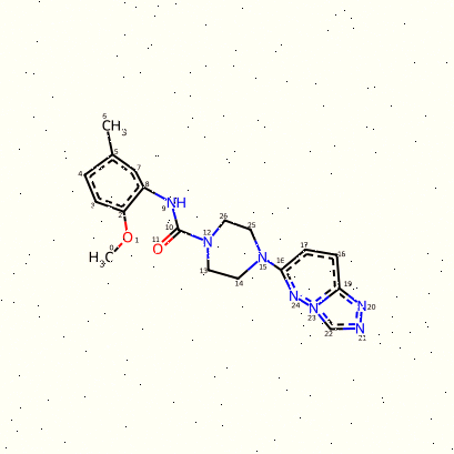 COc1ccc(C)cc1NC(=O)N1CCN(c2ccc3nncn3n2)CC1